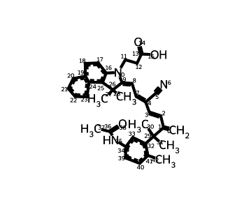 C=C(/C=C/C(C#N)=C/C=C1/N(CCC(=O)O)c2ccc3ccccc3c2C1(C)C)C(C)(C)c1cc(NC(C)=O)ccc1C